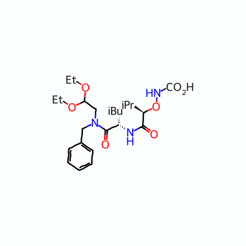 CCOC(CN(Cc1ccccc1)C(=O)[C@@H](NC(=O)[C@H](ONC(=O)O)C(C)C)[C@@H](C)CC)OCC